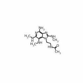 CNc1nc(N)c2nc(NC)n(CCNC(C)=O)c2c1NC